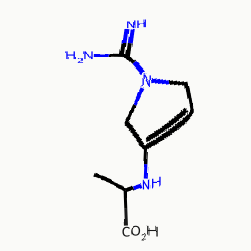 CC(NC1=CCN(C(=N)N)C1)C(=O)O